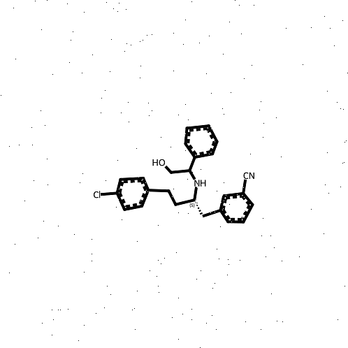 N#Cc1cccc(C[C@H](CCc2ccc(Cl)cc2)NC(CO)c2ccccc2)c1